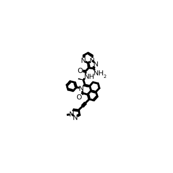 C[C@@H](NC(=O)c1c(N)nn2cccnc12)c1c2c3c(ccc(C#Cc4cnn(C)c4)c3c(=O)n1-c1ccccc1)CCC2